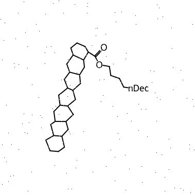 CCCCCCCCCCCCCCOC(=O)C1CCCC2CC3CC4CC5CC6CC7CCCCC7CC6CC5CC4CC3CC21